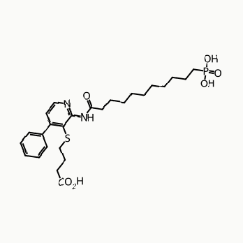 O=C(O)CCCSc1c(-c2ccccc2)ccnc1NC(=O)CCCCCCCCCCP(=O)(O)O